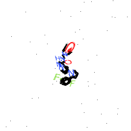 O=C(NCCN1CCOCC1)c1cnn2ccc(N3CCCC3c3cc(F)ccc3F)cc12